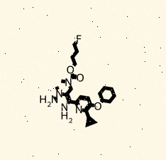 CN(C/C(=C(/N)c1ccc(OC2CCCCC2)c(C2CC2)n1)N(C)N)C(=O)OCCCCF